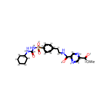 COC(=O)c1cnc(C(=O)NCCc2ccc(S(=O)(=O)NC(=O)NC3CCCCC3)cc2)cn1